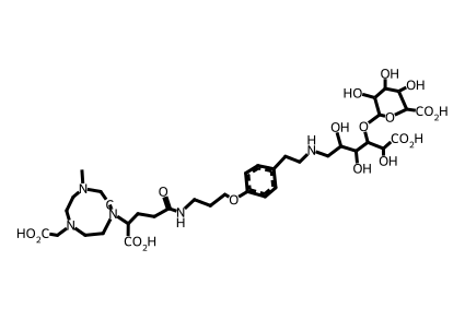 CN1CCN(CC(=O)O)CCN(C(CCC(=O)NCCCOc2ccc(CCNCC(O)C(O)C(OC3OC(C(=O)O)C(O)C(O)C3O)C(O)C(=O)O)cc2)C(=O)O)CC1